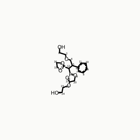 OCCOCC(c1ccccc1)C(P1OCCO1)P1OCC(OCCO)O1